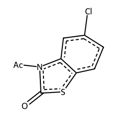 CC(=O)n1c(=O)sc2ccc(Cl)cc21